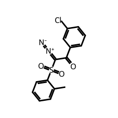 Cc1ccccc1S(=O)(=O)C(=[N+]=[N-])C(=O)c1cccc(Cl)c1